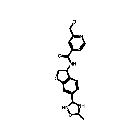 CC1NC(c2ccc3c(c2)OC[C@H]3NC(=O)c2ccnc(CO)c2)NO1